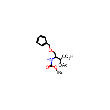 CC(=O)OC(C(=O)O)C(COCc1ccccc1)NC(=O)OC(C)(C)C